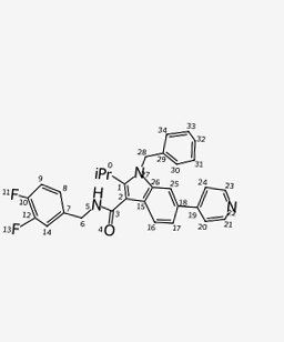 CC(C)c1c(C(=O)NCc2ccc(F)c(F)c2)c2ccc(-c3ccncc3)cc2n1Cc1ccccc1